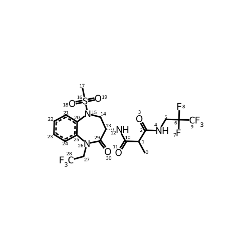 CC(C(=O)NCC(F)(F)C(F)(F)F)C(=O)N[C@H]1CN(S(C)(=O)=O)c2ccccc2N(CC(F)(F)F)C1=O